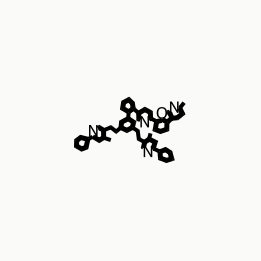 Cc1ccc2c(n1)oc1c(-c3ccc(-c4ccccc4-c4cc(CCc5cnc(-c6ccccc6)cc5C)cc(CCc5cnc(-c6ccccc6)cc5C)c4)cn3)cccc12